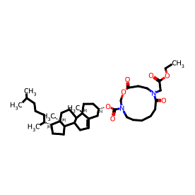 CCOC(=O)CN1CCC(=O)OCN(C(=O)O[C@H]2CC[C@@]3(C)C(=CCC4C3CC[C@@]3(C)C4CC[C@@H]3C(C)CCCC(C)C)C2)CCCCCC1=O